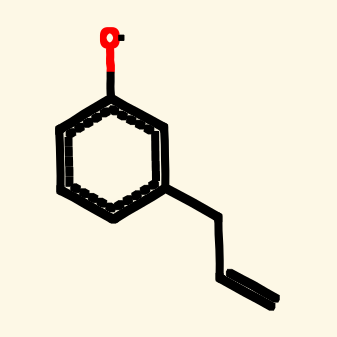 C=CCc1cccc([O])c1